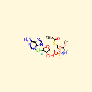 CC(C)OC(=O)[C@H](C)NP(=S)(OCCSC(=O)C(C)(C)C)OC[C@H]1O[C@@H](n2cnc3c(N)ncnc32)[C@](F)(Cl)[C@@H]1O